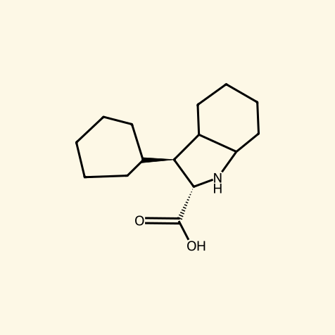 O=C(O)[C@H]1NC2CCCCC2[C@@H]1C1CCCCC1